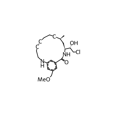 COCc1cc2cc(c1)C(=O)N[C@H]([C@H](O)CCl)C[C@H](C)CCCCCCCN2